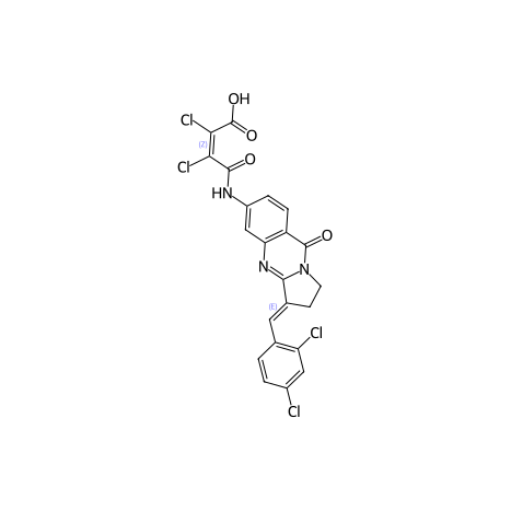 O=C(O)/C(Cl)=C(/Cl)C(=O)Nc1ccc2c(=O)n3c(nc2c1)/C(=C/c1ccc(Cl)cc1Cl)CC3